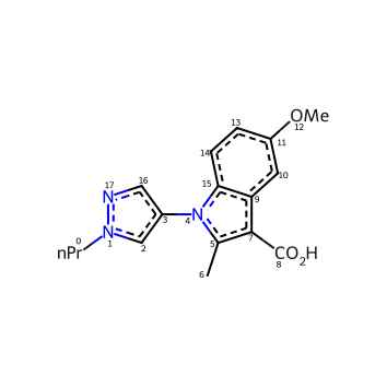 CCCn1cc(-n2c(C)c(C(=O)O)c3cc(OC)ccc32)cn1